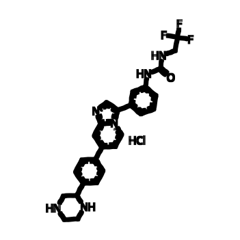 Cl.O=C(NCC(F)(F)F)Nc1cccc(-c2cnc3cc(-c4ccc(C5CNCCN5)cc4)ccn23)c1